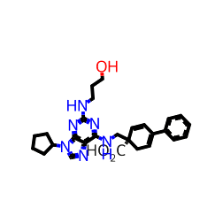 O=C(O)C1(CNc2nc(NCCCO)nc3c2ncn3C2CCCC2)C=CC(c2ccccc2)=CC1